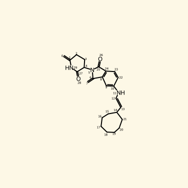 C=C1CCC(N2C(=C)c3cc(NC=CC4CCCCCCC4)ccc3C2=O)C(=O)N1